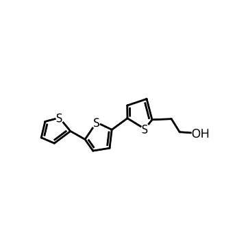 OCCc1ccc(-c2ccc(-c3cccs3)s2)s1